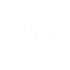 CC(C)[CH2][Al][CH2]C(C)C.[LiH]